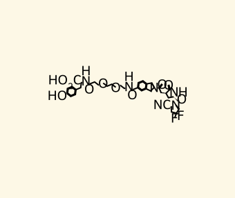 N#C[C@@H]1CC(F)(F)CN1C(=O)[C@@H]1C[C@@H](CC(=O)N2Cc3ccc(C(=O)NCCOCCOCCC(=O)N[C@@H](Cc4ccc(O)cc4)C(=O)O)cc3C2)C(=O)N1